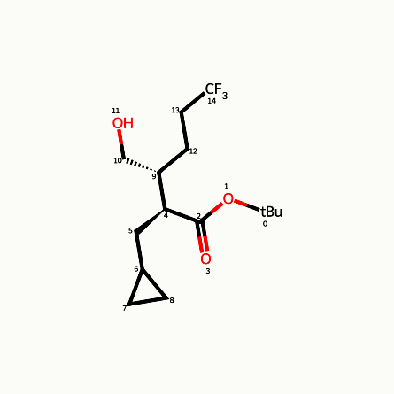 CC(C)(C)OC(=O)[C@@H](CC1CC1)[C@H](CO)CCC(F)(F)F